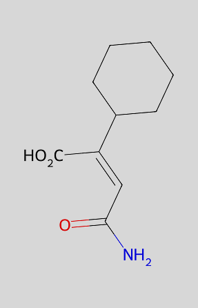 NC(=O)C=C(C(=O)O)C1CCCCC1